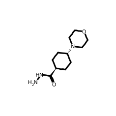 NNC(=O)[C@H]1CC[C@H](N2CCOCC2)CC1